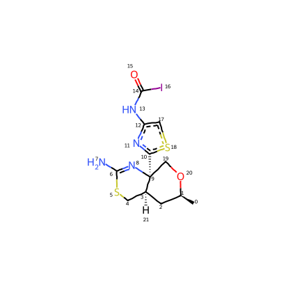 C[C@H]1C[C@H]2CSC(N)=N[C@@]2(c2nc(NC(=O)I)cs2)CO1